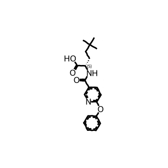 CC(C)(C)CC[C@H](NC(=O)c1ccc(Oc2ccccc2)nc1)C(=O)O